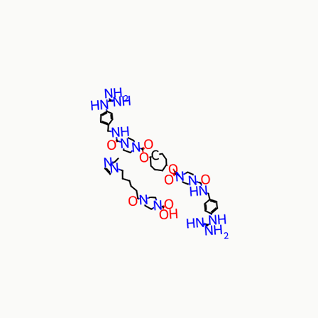 Cc1nccn1CCCCCC(=O)N1CCN(C(=O)O)CC1.N=C(N)Nc1ccc(CNC(=O)N2CCN(C(=O)O[C@H]3CCC[C@@H](OC(=O)N4CCN(C(=O)NCc5ccc(NC(=N)N)cc5)CC4)CCC3)CC2)cc1